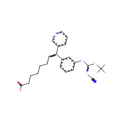 CC(C)(C)NC(=NC#N)Nc1cccc(/C(=C\CCCCCC(=O)O)c2cccnc2)c1